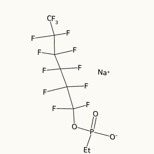 CCP(=O)([O-])OC(F)(F)C(F)(F)C(F)(F)C(F)(F)C(F)(F)C(F)(F)F.[Na+]